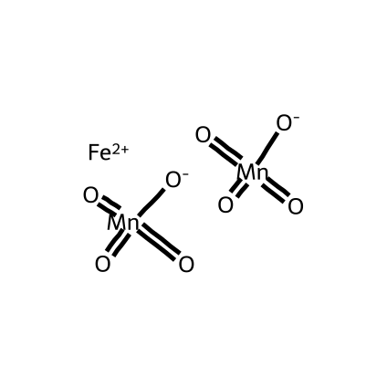 [Fe+2].[O]=[Mn](=[O])(=[O])[O-].[O]=[Mn](=[O])(=[O])[O-]